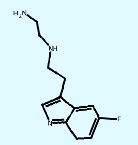 NCCNCCC1=CN=C2CC=C(F)C=C12